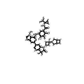 CC(C)n1cnc2cc(-c3cnc4c(c3)N([C@H]3C[C@@](C)(N5CC6CCC6C5)C3)C(=O)C4(C)C)nc(Nc3cc(C(=O)NC4(C(F)F)CC4)c(Cl)c(F)c3F)c21